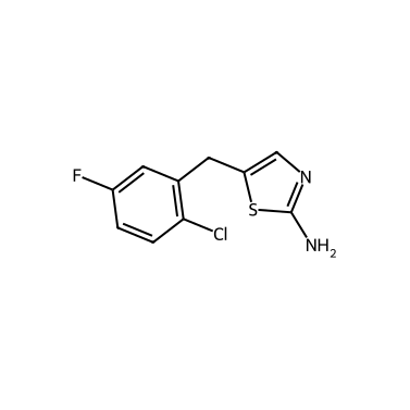 Nc1ncc(Cc2cc(F)ccc2Cl)s1